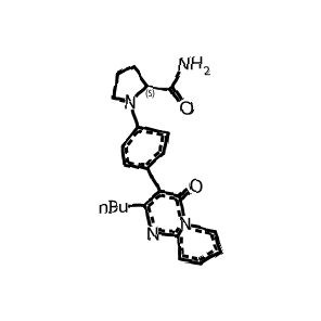 CCCCc1nc2ccccn2c(=O)c1-c1ccc(N2CCC[C@H]2C(N)=O)cc1